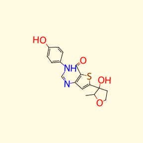 CC1OCCC1(O)c1cc(/N=C\Nc2ccc(O)cc2)c(C=O)s1